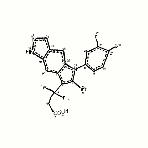 CC(C)c1c(C(F)(F)CC(=O)O)c2nc3[nH]ncc3cc2n1-c1ccc(F)c(F)c1